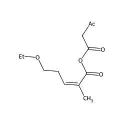 CCOCCC=C(C)C(=O)OC(=O)CC(C)=O